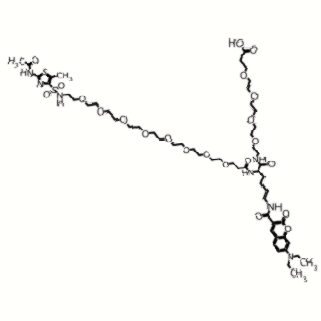 CCN(CC)c1ccc2cc(C(=O)NCCCCC(NC(=O)CCOCCOCCOCCOCCOCCOCCOCCOCCNS(=O)(=O)c3nc(NC(C)=O)sc3C)C(=O)NCCOCCOCCOCCOCCC(=O)O)c(=O)oc2c1